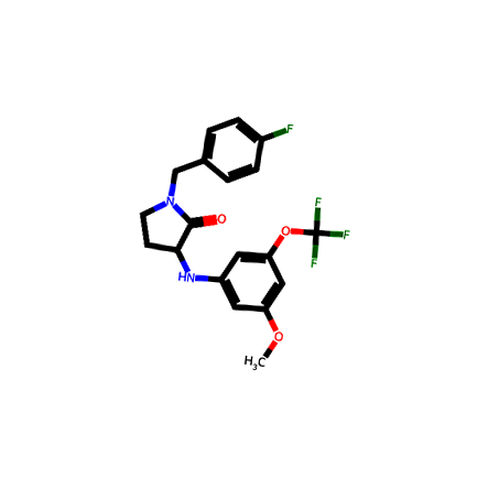 COc1cc(NC2CCN(Cc3ccc(F)cc3)C2=O)cc(OC(F)(F)F)c1